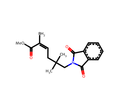 B/C(=C/CC(C)(C)CN1C(=O)c2ccccc2C1=O)C(=O)OC